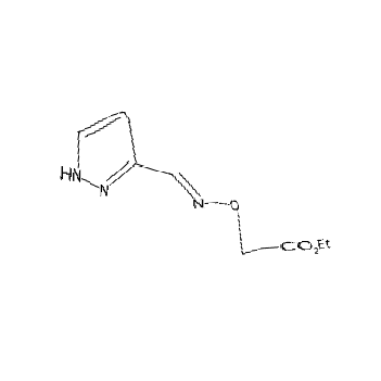 CCOC(=O)CON=Cc1cc[nH]n1